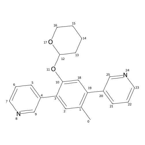 Cc1cc(-c2cccnc2)c(OC2CCCCO2)cc1-c1cccnc1